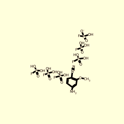 COc1cc(N)ccc1[N+]#N.O=P(O)(O)F.O=P(O)(O)F.O=P(O)(O)F.O=P(O)(O)F.O=P(O)(O)F.O=P([O-])(O)F